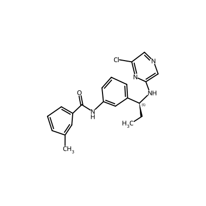 CC[C@H](Nc1cncc(Cl)n1)c1cccc(NC(=O)c2cccc(C)c2)c1